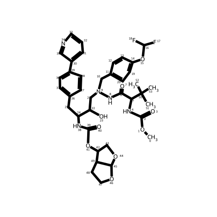 COC(=O)NC(C(=O)NN(Cc1ccc(OC(F)F)cc1)CC(O)C(Cc1ccc(-c2cccnc2)cc1)NC(=O)OC1COC2OCCC12)C(C)(C)C